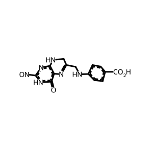 O=Nc1nc2c(c(=O)[nH]1)N=C(CNc1ccc(C(=O)O)cc1)CN2